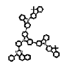 CC1(C)c2ccccc2-c2ccc(-n3c4ccccc4c4cc(-c5ccc6c(c5)c5cc(-c7ccc8c(c7)c7ccccc7n8-c7ccc8c(c7)C(C)(C)c7ccccc7-8)ccc5n6-c5cccc(-c6nc(-c7ccccc7)c7ccc8ccccc8c7n6)c5)ccc43)cc21